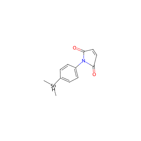 [CH3][SnH]([CH3])[c]1ccc(N2C(=O)C=CC2=O)cc1